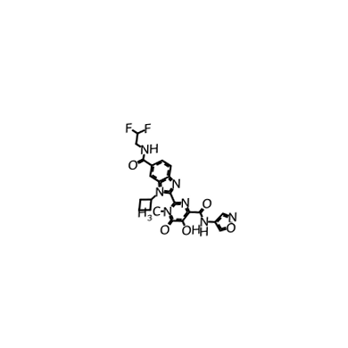 Cn1c(-c2nc3ccc(C(=O)NCC(F)F)cc3n2C2CCC2)nc(C(=O)Nc2cnoc2)c(O)c1=O